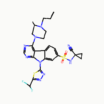 CCCN1CCN(c2ncnc3c2c2ccc(S(=O)(=O)NC4(C#N)CC4)cc2n3-c2nnc(C(F)F)s2)CC1C